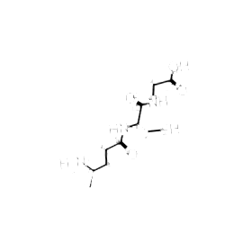 C[C@@H](N)CCC(=O)N[C@@H](CS)C(=O)NCC(=O)O